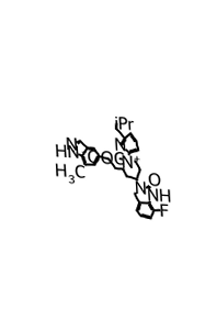 Cc1cc(CCC2CC(N3Cc4cccc(F)c4NC3=O)CC[N+]2(C(=O)[O-])c2cccc(CC(C)C)n2)cc2cn[nH]c12